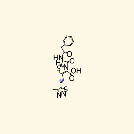 Cc1nnsc1/C=C/C1=C(C(=O)O)N2C(=O)C(NC(=O)Cc3ccccc3)[C@H]2SC1